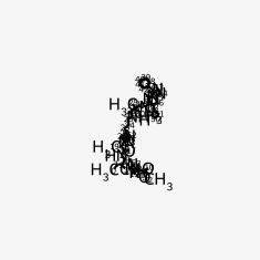 CCC(C)[C@@H](Cn1cc(C(=O)OC)nn1)NC(=O)[C@H](C)n1cc(CCCNCC(C)(C)CNc2nn3c(-c4ccccc4)nnc3cc2C2CCC2)nn1